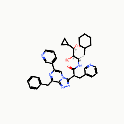 O=C(N[C@@H](CC1CCCCC1)[C@@H](O)[C@@H](O)C1CC1)C(Cc1cccnc1)c1nnc2c(Cc3ccccc3)nc(-c3cccnc3)cn12